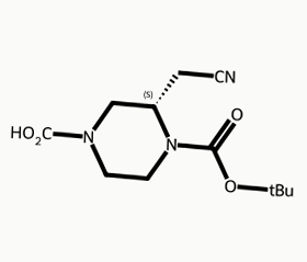 CC(C)(C)OC(=O)N1CCN(C(=O)O)C[C@@H]1CC#N